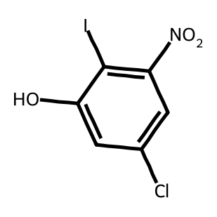 O=[N+]([O-])c1cc(Cl)cc(O)c1I